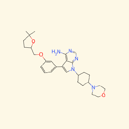 CC1(C)CCC(COc2cccc(-c3cn(C4CCC(N5CCOCC5)CC4)c4ncnc(N)c34)c2)O1